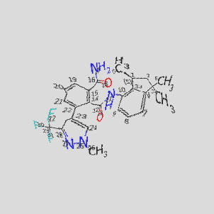 C[C@H]1CC(C)(C)c2cccc(NC(=O)c3c(C(N)=O)cccc3-c3cn(C)nc3C(F)(F)F)c21